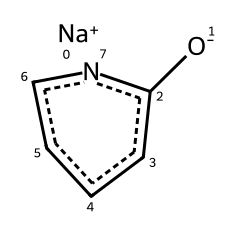 [Na+].[O-]c1ccccn1